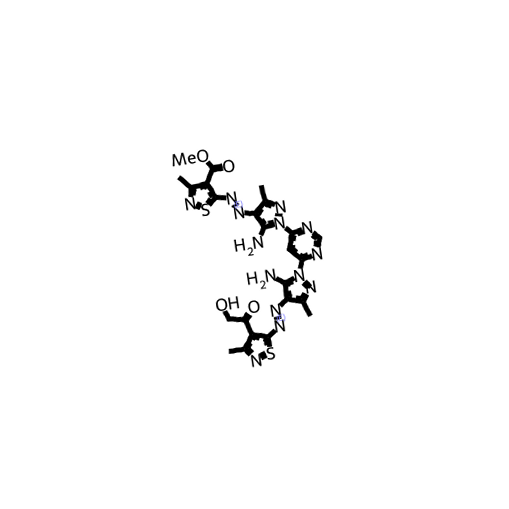 COC(=O)c1c(C)nsc1/N=N/c1c(C)nn(-c2cc(-n3nc(C)c(/N=N/c4snc(C)c4C(=O)CO)c3N)ncn2)c1N